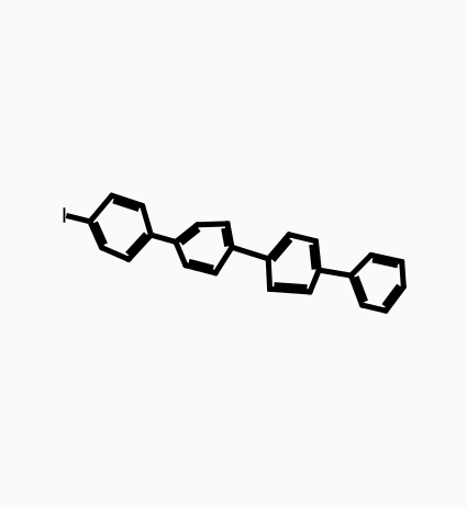 Ic1ccc(-c2ccc(-c3ccc(-c4ccccc4)cc3)cc2)cc1